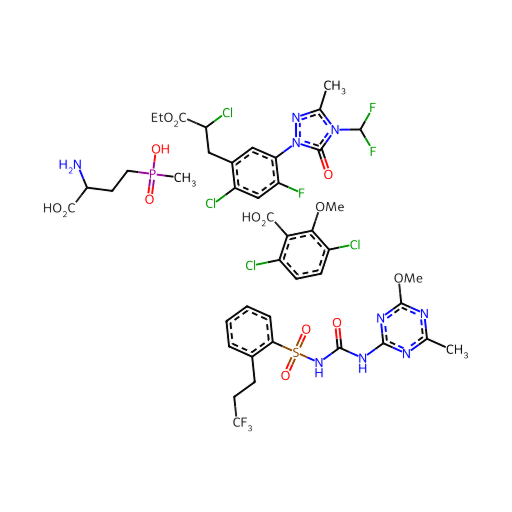 CCOC(=O)C(Cl)Cc1cc(-n2nc(C)n(C(F)F)c2=O)c(F)cc1Cl.COc1c(Cl)ccc(Cl)c1C(=O)O.COc1nc(C)nc(NC(=O)NS(=O)(=O)c2ccccc2CCC(F)(F)F)n1.CP(=O)(O)CCC(N)C(=O)O